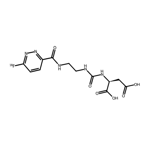 O=C(O)C[C@H](NC(=O)NCCNC(=O)c1ccc([18F])nn1)C(=O)O